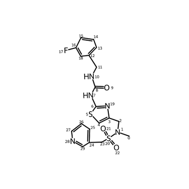 CN(Cc1csc(NC(=O)NCc2cccc(F)c2)n1)S(=O)(=O)Cc1cccnc1